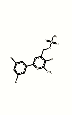 Cc1nc(-c2cc(Cl)cc(Cl)c2)cc(COS(C)(=O)=O)c1F